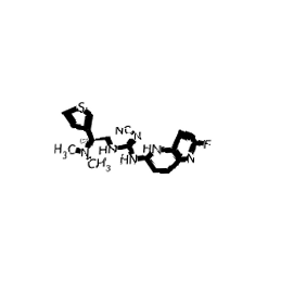 CN(C)[C@H](CNC(=NC#N)NC1CCc2nc(F)ccc2N1)c1ccsc1